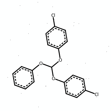 Clc1ccc(OC(Oc2ccccc2)Oc2ccc(Cl)cc2)cc1